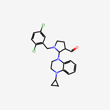 O=CC1CCN(Cc2cc(Cl)ccc2Cl)C1N1CCN(C2CC2)c2ccccc21